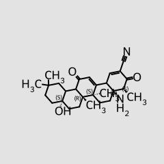 C[C@@H]1C(=O)C(C#N)=CC2C3=CC(=O)C4C5CC(C)(C)CC[C@]5(O)CC[C@@]4(C)[C@]3(C)CC[C@]21N